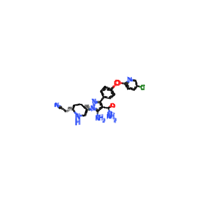 N#CC[C@@H]1CC[C@@H](n2nc(-c3ccc(Oc4ccc(Cl)cn4)cc3)c(C(N)=O)c2N)CN1